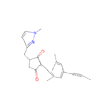 CC#Cc1cc(C)c(C2C(=O)CC(Cc3ccn(C)n3)C2=O)c(C)c1